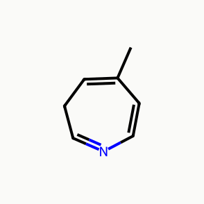 CC1=CCC=NC=C1